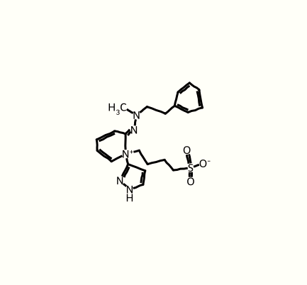 CN(CCc1ccccc1)N=C1C=CC=C[N+]1(CCCCS(=O)(=O)[O-])c1cc[nH]n1